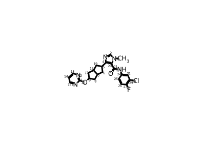 Cn1cnc(C2CC3CC(Oc4ncccn4)CC3C2)c1C(=O)Nc1ccc(F)c(Cl)c1